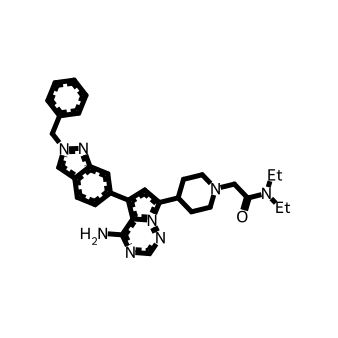 CCN(CC)C(=O)CN1CCC(c2cc(-c3ccc4cn(Cc5ccccc5)nc4c3)c3c(N)ncnn23)CC1